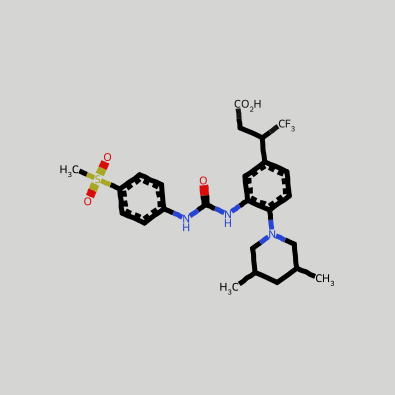 CC1CC(C)CN(c2ccc(C(CC(=O)O)C(F)(F)F)cc2NC(=O)Nc2ccc(S(C)(=O)=O)cc2)C1